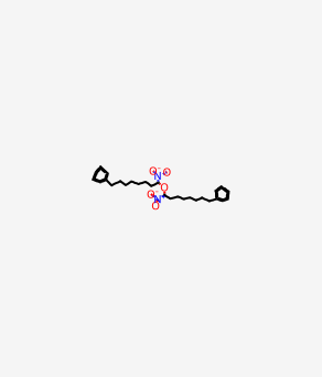 O=[N+]([O-])C(CCCCCCCc1ccccc1)OC(CCCCCCCc1ccccc1)[N+](=O)[O-]